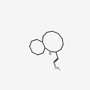 CC=CC1CCCCCCCC2CCCCCCC2N1